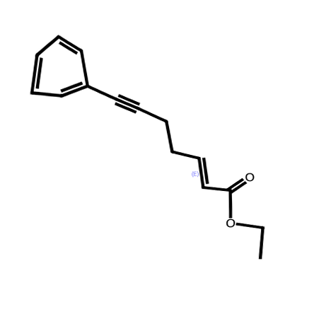 CCOC(=O)/C=C/CCC#Cc1ccccc1